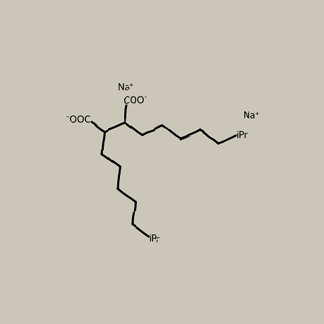 CC(C)CCCCCC(C(=O)[O-])C(CCCCCC(C)C)C(=O)[O-].[Na+].[Na+]